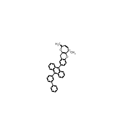 C=C1C=C[C@H](C)C2=C(Cc3cc(-c4c5ccccc5c(-c5cccc(-c6ccccc6)c5)c5ccccc45)ccc3O2)O1